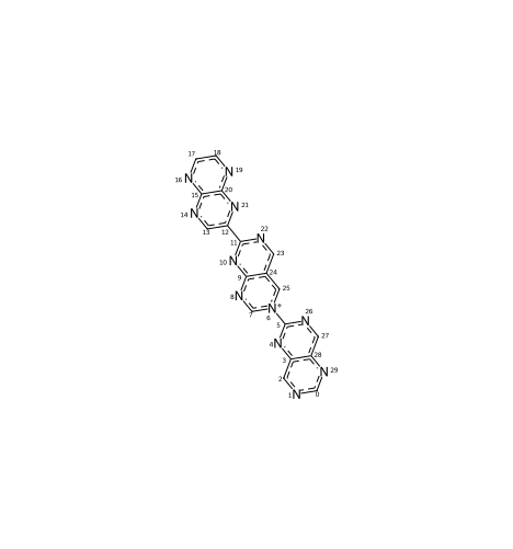 c1ncc2nc(-[n+]3cnc4nc(-c5cnc6nccnc6n5)ncc4c3)ncc2n1